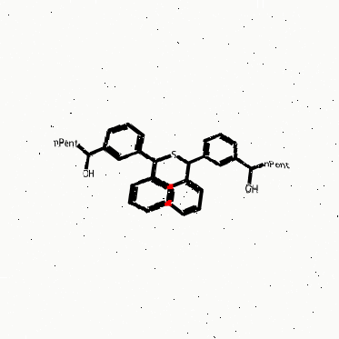 CCCCCC(O)c1cccc(C(SC(c2ccccc2)c2cccc(C(O)CCCCC)c2)c2ccccc2)c1